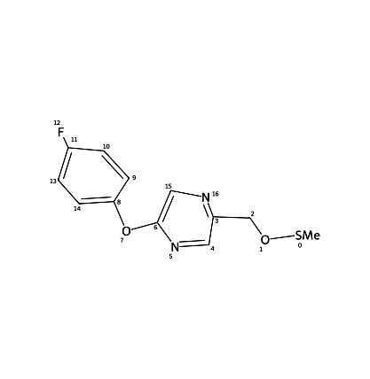 CSOCc1cnc(Oc2ccc(F)cc2)cn1